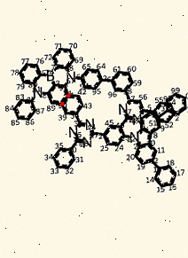 c1ccc(-c2ccc3c(c2)c2cc(-c4ccccc4)ccc2n3-c2ccc(-c3nc(-c4ccccc4)nc(-c4ccccc4)n3)cc2-c2nc(-c3ccccc3)cc(-c3cccc(-c4ccc(N5c6ccccc6B6c7ccccc7N(c7ccccc7)c7cccc5c76)cc4)c3)n2)cc1